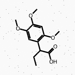 CCC(C(=O)O)c1cc(OC)c(OC)cc1OC